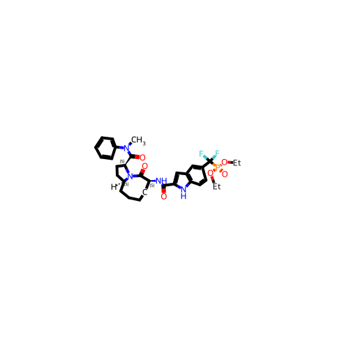 CCOP(=O)(OCC)C(F)(F)c1ccc2[nH]c(C(=O)N[C@H]3CCCC[C@H]4CC[C@@H](C(=O)N(C)c5ccccc5)N4C3=O)cc2c1